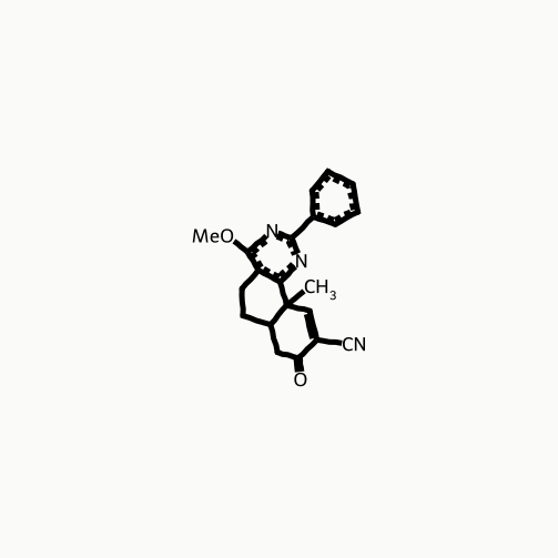 COc1nc(-c2ccccc2)nc2c1CCC1CC(=O)C(C#N)=CC21C